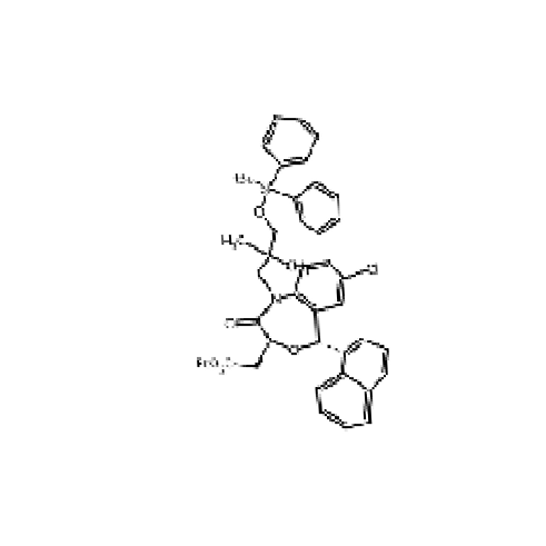 CCOC(=O)C[C@@H]1O[C@@H](c2cccc3ccccc23)c2cc(Cl)ccc2N(CC(C)(C)CO[Si](c2ccccc2)(c2ccccc2)C(C)(C)C)C1=O